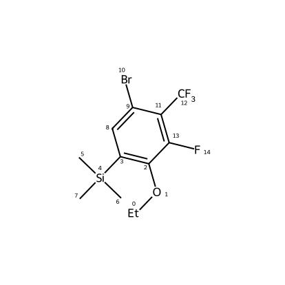 CCOc1c([Si](C)(C)C)cc(Br)c(C(F)(F)F)c1F